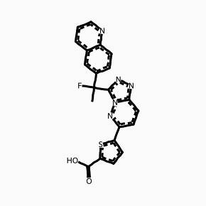 CC(F)(c1ccc2ncccc2c1)c1nnc2ccc(-c3ccc(C(=O)O)s3)nn12